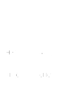 CC(C=O)C(C)(C)c1ccccc1